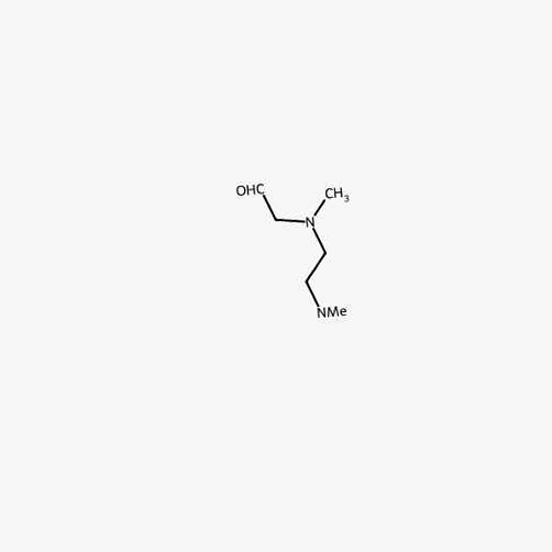 CNCCN(C)CC=O